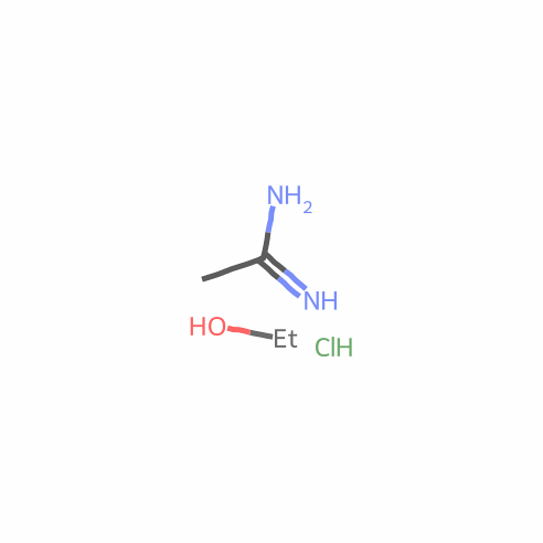 CC(=N)N.CCO.Cl